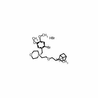 Br.COc1cc(Br)c(C[N+]2(CCOCCC3CCC4CC3C4(C)C)CCOCC2)cc1OC